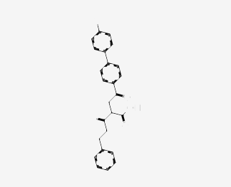 O=C(CC(C(=O)O)C(=O)CCc1ccccc1)c1ccc(-c2ccc(Cl)cc2)cc1